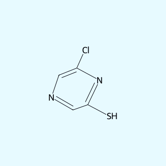 Sc1cncc(Cl)n1